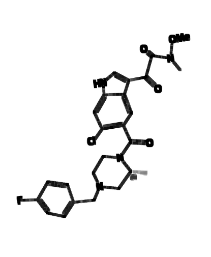 CON(C)C(=O)C(=O)c1c[nH]c2cc(Cl)c(C(=O)N3CCN(Cc4ccc(F)cc4)C[C@H]3C)cc12